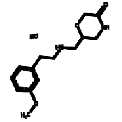 COc1cccc(CCNCC2CNC(=O)CO2)c1.Cl